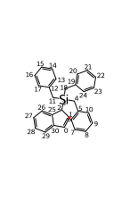 C1=CC([Si](Cc2ccccc2)(Cc2ccccc2)Cc2ccccc2)c2ccccc21